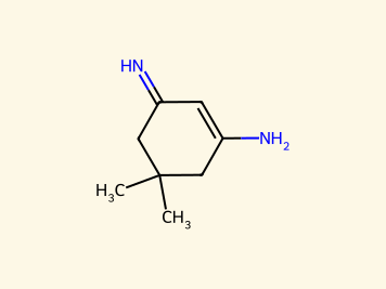 CC1(C)CC(=N)C=C(N)C1